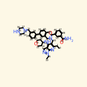 CCc1nc2c(cnn2CC)c(NC2CCOCC2)c1CN(Cc1cc(-c2cccc(CN3CCNCC3)c2)ccc1C)C(=O)c1cccc(C(N)=O)c1